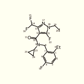 CCc1ccc(F)cc1CN(C(=O)c1c(C(F)F)nn(CI)c1F)C1CC1